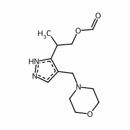 CC(COC=O)c1[nH]ncc1CN1CCOCC1